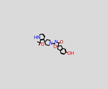 CC1(C)OC2(CCN(C3=NC(=O)C4(Cc5ccc(O)cc5C4)O3)CC2)C2=C1NCC=C2